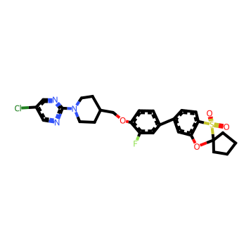 O=S1(=O)c2ccc(-c3ccc(OCC4CCN(c5ncc(Cl)cn5)CC4)c(F)c3)cc2OC12CCCC2